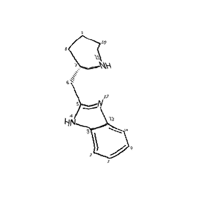 c1ccc2[nH]c(C[C@@H]3CCCN3)nc2c1